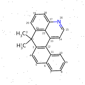 CC1(C)c2ccc3ccccc3c2-c2ccnc3cccc1c23